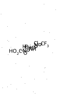 CCC(C)C(COc1ccc(-c2ccc(C(F)(F)F)cc2Cl)nc1)Nc1ccc(C(=O)NCCC(=O)O)cc1